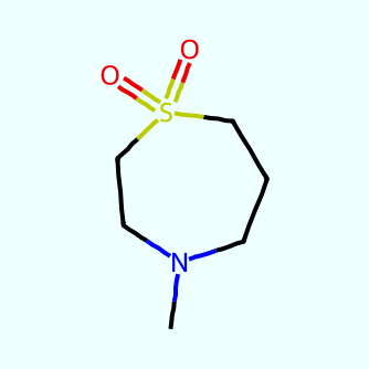 CN1CCCS(=O)(=O)CC1